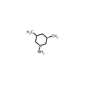 CC1C[C@@H](C)CN(N)C1